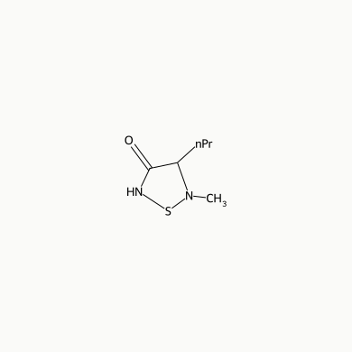 CCCC1C(=O)NSN1C